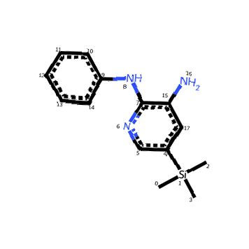 C[Si](C)(C)c1cnc(Nc2ccccc2)c(N)c1